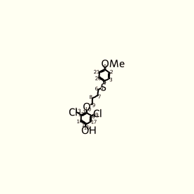 COc1ccc(SCCCCOc2c(Cl)cc(O)cc2Cl)cc1